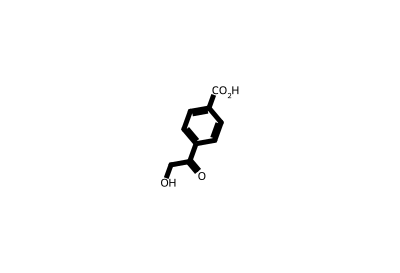 O=C(O)c1ccc(C(=O)CO)cc1